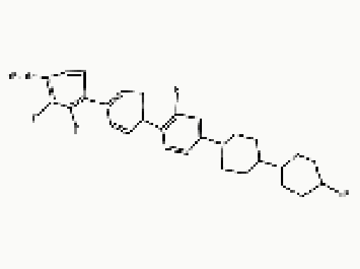 CCCCCc1ccc(-c2ccc(-c3ccc(C4CCC(C5CCC(CCC)CC5)CC4)cc3F)cc2)c(F)c1F